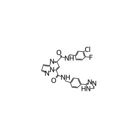 O=C(NCc1ccc(F)c(Cl)c1)c1cc(C(=O)NCc2ccc(-c3nnc[nH]3)cc2)n2nccc2n1